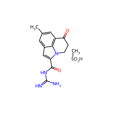 CS(=O)(=O)O.Cc1cc2c3c(c1)cc(C(=O)NC(=N)N)n3CCC2=O